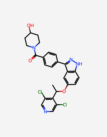 CC(Oc1ccc2[nH]nc(-c3ccc(C(=O)N4CCC(O)CC4)cc3)c2c1)c1c(Cl)cncc1Cl